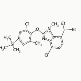 CCC(CC)c1ccc(Cl)c2nc(Oc3c(C)cc([Si](C)(C)C)cc3Cl)n(C)c12